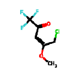 COC(=CC(=O)C(F)(F)F)CCl